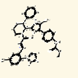 COC(=O)Nc1ccc(-c2nc([C@@H]3[C@H](c4ccccc4)CCCN3C(=O)/C=C/c3cc(Cl)ccc3-n3cnnn3)[nH]c2Cl)cc1